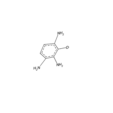 Nc1ccc(N)c([O])c1N